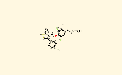 CCOC(=O)CCc1cc(F)c(OCc2c(-c3ccc(Cl)cc3)csc2C(F)(F)F)c(F)c1F